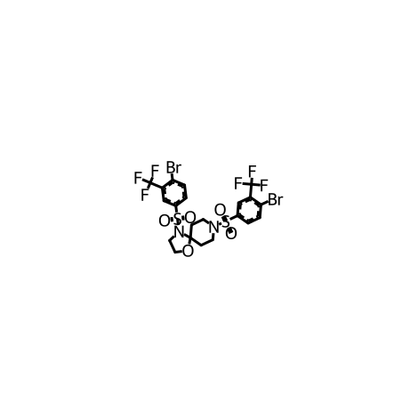 O=S(=O)(c1ccc(Br)c(C(F)(F)F)c1)N1CCC2(CC1)OCCN2S(=O)(=O)c1ccc(Br)c(C(F)(F)F)c1